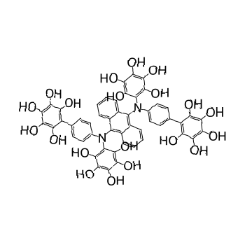 Oc1c(O)c(O)c(-c2ccc(N(c3c(O)c(O)c(O)c(O)c3O)c3c4ccccc4c(N(c4ccc(-c5c(O)c(O)c(O)c(O)c5O)cc4)c4c(O)c(O)c(O)c(O)c4O)c4ccccc34)cc2)c(O)c1O